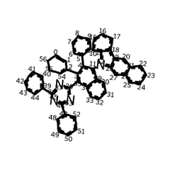 C1=CC(c2c(-c3ccccc3)c(-n3c4ccccc4c4cc5ccccc5cc43)c3ccccc3c2-c2nc(-c3ccccc3)nc(-c3ccccc3)n2)=CCC1